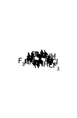 FC(F)(F)c1cnc(Nc2cnc3[nH]cc(-c4c[nH]c5ncc(Nc6nc(Cl)ncc6C(F)(F)F)cc45)c3c2)nc1Cl